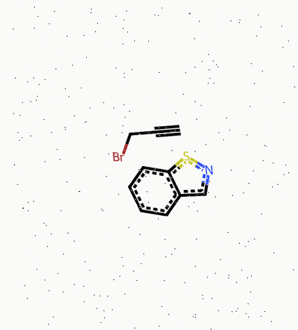 C#CCBr.c1ccc2sncc2c1